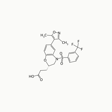 Cc1noc(C)c1-c1ccc2c(c1)N(S(=O)(=O)c1cccc(C(F)(F)F)c1)C[C@H](CCC(=O)O)O2